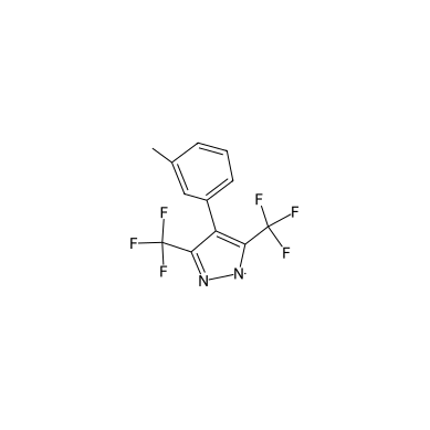 Cc1cccc(C2=C(C(F)(F)F)[N]N=C2C(F)(F)F)c1